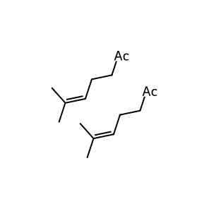 CC(=O)CCC=C(C)C.CC(=O)CCC=C(C)C